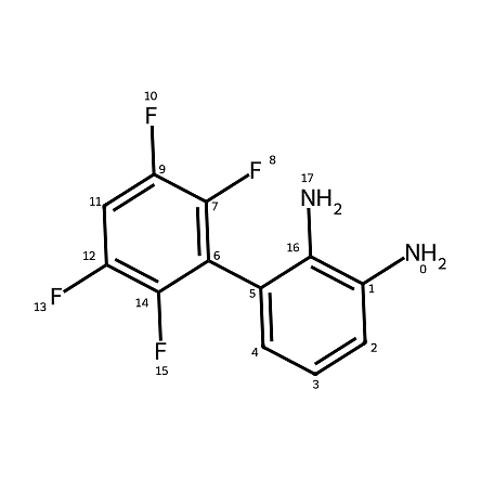 Nc1cccc(-c2c(F)c(F)cc(F)c2F)c1N